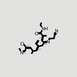 C=C/C(=C\C(C)/C=C(Cl)\C=N/C)CC(/C=C(\C)C(=O)NCC)=N/CCC#N